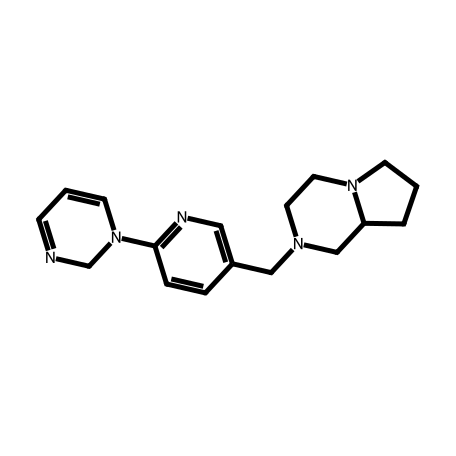 C1=CN(c2ccc(CN3CCN4CCCC4C3)cn2)CN=C1